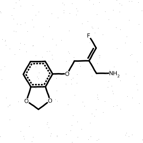 NC/C(=C/F)COc1cccc2c1OCO2